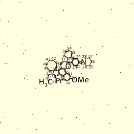 C/C=C\C1=C(C(C)C)c2c(c3c(c4cc(OC)ccc24)OC(c2ccc(N4CCCCC4)cc2)(C2C=CC=CC2)C=C3)C12CCCCCCC2